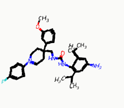 COc1cccc(C2(CNC(=O)Nc3c(C(C)C)cc(N)cc3C(C)C)CCN(c3ccc(F)cc3)CC2)c1